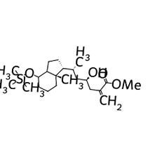 C=C(C[C@H](O)C[C@@H](C)[C@H]1CCC2C(O[Si](C)(C)C)CCC[C@]21C)C(=O)OC